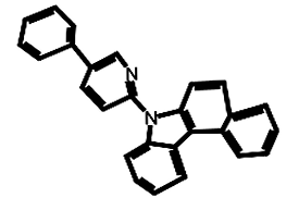 c1ccc(-c2ccc(-n3c4ccccc4c4c5ccccc5ccc43)nc2)cc1